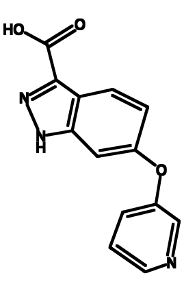 O=C(O)c1n[nH]c2cc(Oc3cccnc3)ccc12